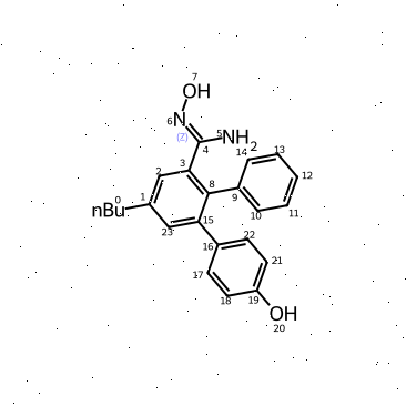 CCCCc1cc(/C(N)=N/O)c(-c2ccccc2)c(-c2ccc(O)cc2)c1